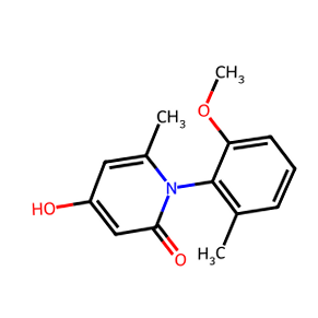 COc1cccc(C)c1-n1c(C)cc(O)cc1=O